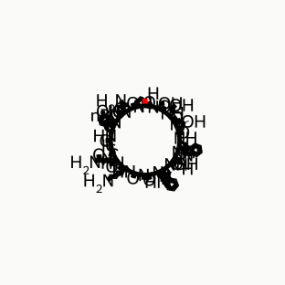 CCCC[C@H]1C(=O)N[C@@H](CC(N)=O)C(=O)N2CCC[C@H]2C(=O)N[C@@H](CO)C(=O)N[C@@H](CCO)C(=O)N2C[C@H](O)CC2C(=O)N[C@@H](Cc2c[nH]c3ccccc23)C(=O)N[C@@H](CO)C(=O)N[C@@H](Cc2c[nH]c3ccccc23)C(=O)N(C)[C@@H](C)C(=O)N(C)[C@@H](C)C(=O)N[C@@H](CCCCN)C(=O)NC(C(=O)NCC(N)=O)CSCC(=O)N[C@@H](Cc2ccc(O)cc2)C(=O)N1C